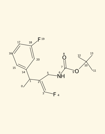 CC(/C(=C/F)CNC(=O)OC(C)(C)C)c1cccc(F)c1